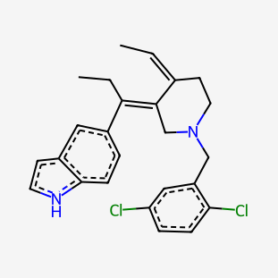 C/C=C1/CCN(Cc2cc(Cl)ccc2Cl)C/C1=C(/CC)c1ccc2[nH]ccc2c1